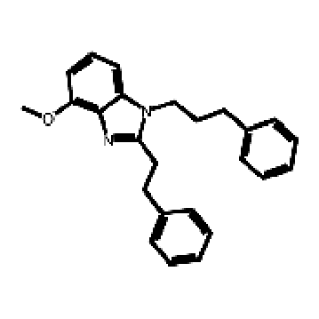 COc1cccc2c1nc(CCc1ccccc1)n2CCCc1ccccc1